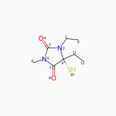 CCN1C(=O)N(C)C(=O)C1(S)CC